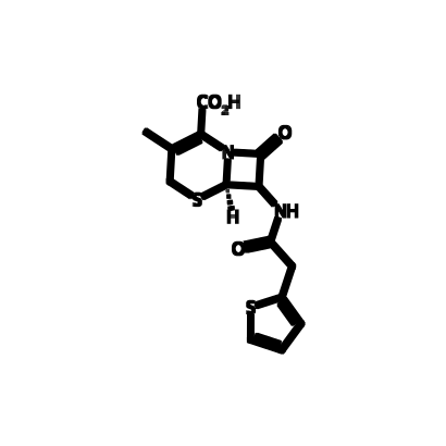 CC1=C(C(=O)O)N2C(=O)C(NC(=O)Cc3cccs3)[C@H]2SC1